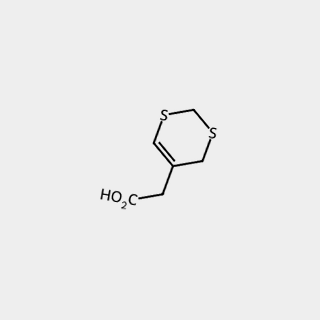 O=C(O)CC1=CSCSC1